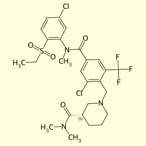 CCS(=O)(=O)c1ccc(Cl)cc1N(C)C(=O)c1cc(Cl)c(CN2CCC[C@H](C(=O)N(C)C)C2)c(C(F)(F)F)c1